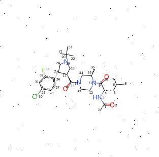 CC(=O)N[C@@H](CC(C)C)C(=O)N1CCN(C(=O)[C@@H]2CN(C(C)(C)C)C[C@H]2c2ccc(Cl)cc2F)C[C@H]1C